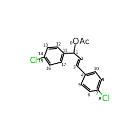 CC(=O)OC(/C=C/c1ccc(Cl)cc1)c1ccc(Cl)cc1